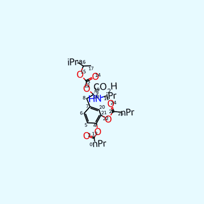 CCCC(=O)Oc1ccc(C[C@](NC(C)C)(OC(=O)OC(C)C(C)C)C(=O)O)cc1OC(=O)CCC